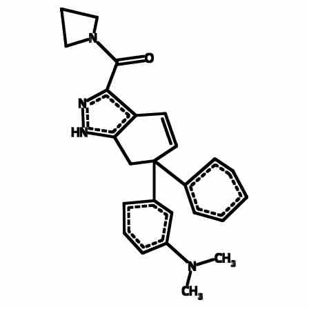 CN(C)c1cccc(C2(c3ccccc3)C=Cc3c(C(=O)N4CCC4)n[nH]c3C2)c1